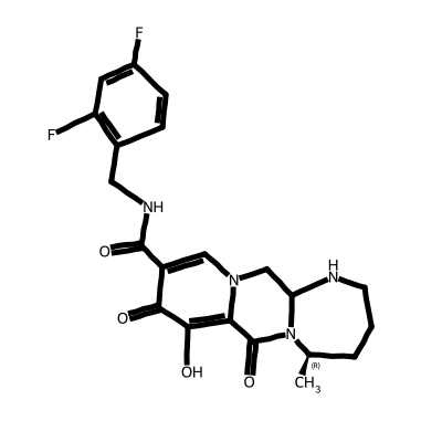 C[C@@H]1CCCNC2Cn3cc(C(=O)NCc4ccc(F)cc4F)c(=O)c(O)c3C(=O)N21